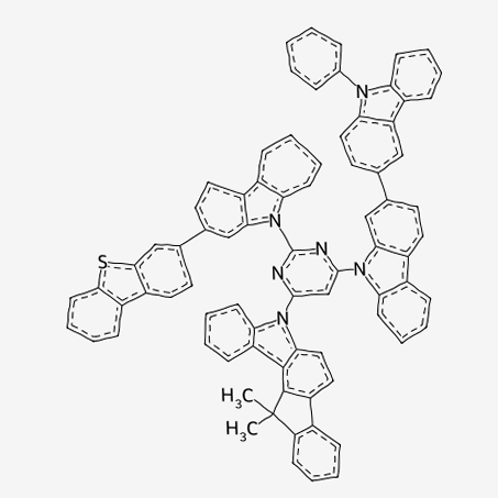 CC1(C)c2ccccc2-c2ccc3c(c21)c1ccccc1n3-c1cc(-n2c3ccccc3c3ccc(-c4ccc5c(c4)c4ccccc4n5-c4ccccc4)cc32)nc(-n2c3ccccc3c3ccc(-c4ccc5c(c4)sc4ccccc45)cc32)n1